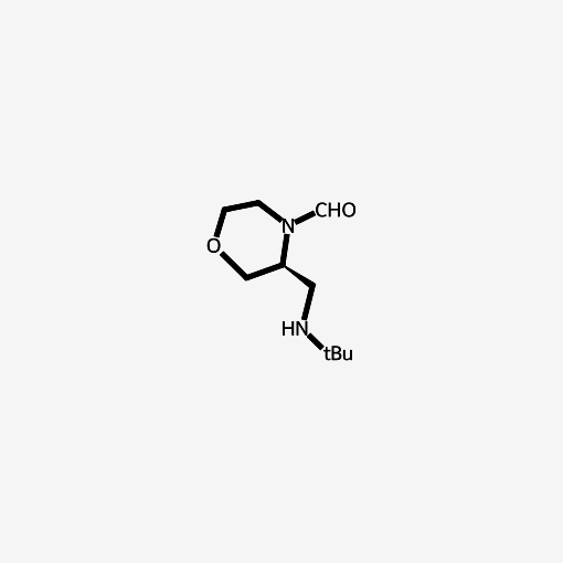 CC(C)(C)NC[C@H]1COCCN1C=O